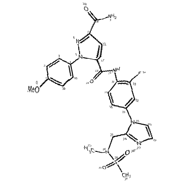 COc1ccc(-n2nc(C(N)=O)cc2C(=O)Nc2ccc(-n3ccnc3CN(C)S(C)(=O)=O)cc2F)cc1